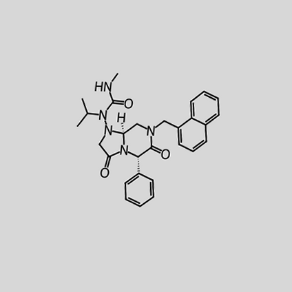 CNC(=O)N(C(C)C)N1CC(=O)N2[C@@H](c3ccccc3)C(=O)N(Cc3cccc4ccccc34)C[C@@H]21